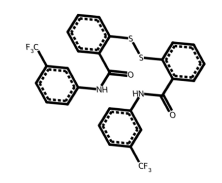 O=C(Nc1cccc(C(F)(F)F)c1)c1ccccc1SSc1ccccc1C(=O)Nc1cccc(C(F)(F)F)c1